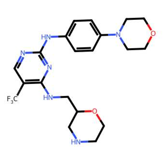 FC(F)(F)c1cnc(Nc2ccc(N3CCOCC3)cc2)nc1NCC1CNCCO1